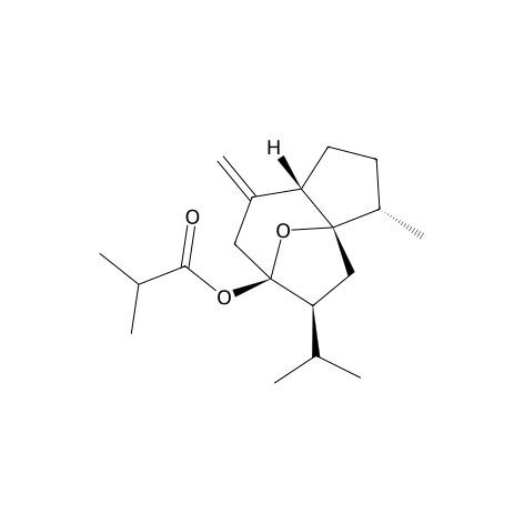 C=C1C[C@]2(OC(=O)C(C)C)O[C@@]3(C[C@H]2C(C)C)[C@@H](C)CC[C@@H]13